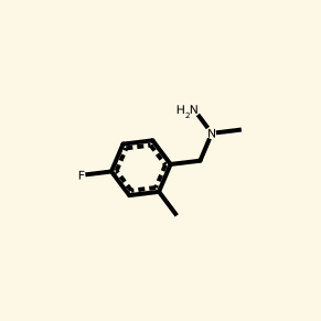 Cc1cc(F)ccc1CN(C)N